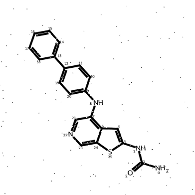 NC(=O)Nc1cc2c(Nc3ccc(-c4ccccc4)cc3)cncc2s1